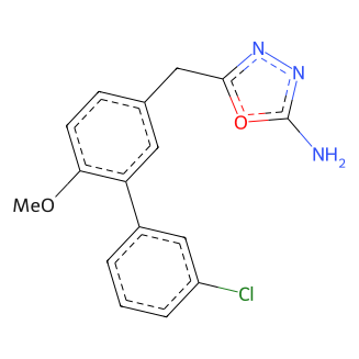 COc1ccc(Cc2nnc(N)o2)cc1-c1cccc(Cl)c1